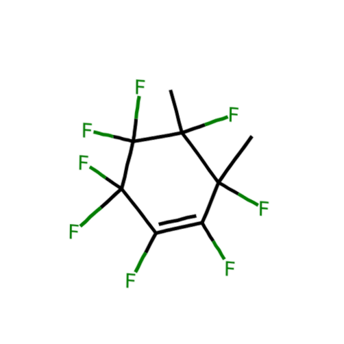 CC1(F)C(F)=C(F)C(F)(F)C(F)(F)C1(C)F